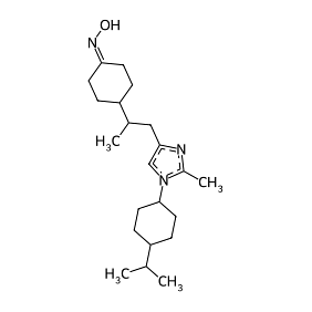 Cc1nc(CC(C)C2CCC(=NO)CC2)cn1C1CCC(C(C)C)CC1